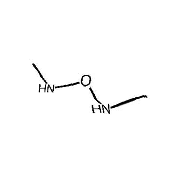 CNONC